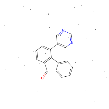 O=C1c2ccccc2-c2c1cccc2-c1cncnc1